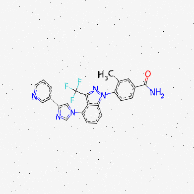 Cc1cc(C(N)=O)ccc1-n1nc(C(F)(F)F)c2c(-n3cnc(-c4cccnc4)c3)cccc21